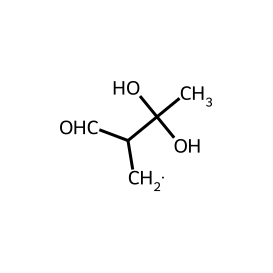 [CH2]C(C=O)C(C)(O)O